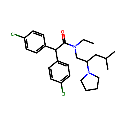 CCN(CC(CC(C)C)N1CCCC1)C(=O)C(c1ccc(Cl)cc1)c1ccc(Cl)cc1